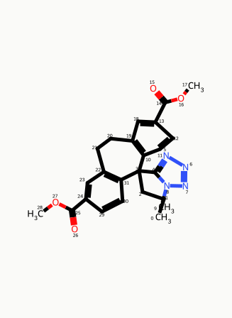 CCCC1(c2nnnn2C)c2ccc(C(=O)OC)cc2CCc2cc(C(=O)OC)ccc21